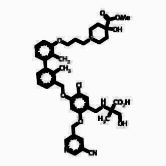 COC(=O)C1(O)CCN(CCCOc2cccc(-c3cccc(COc4cc(OCc5cncc(C#N)c5)c(CNC(C)(CO)C(=O)O)cc4Cl)c3C)c2C)CC1